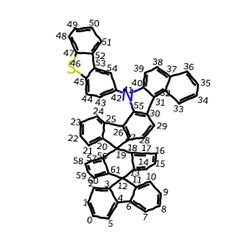 c1ccc2c(c1)-c1ccccc1C21c2ccccc2C2(c3ccccc3-c3c2ccc2c4c5ccccc5ccc4n(-c4ccc5sc6ccccc6c5c4)c32)c2ccccc21